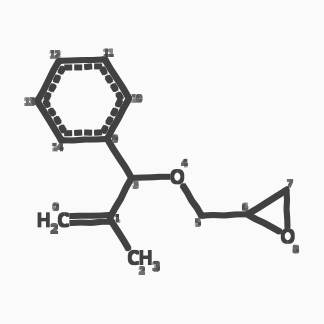 C=C(C)C(OCC1CO1)c1ccccc1